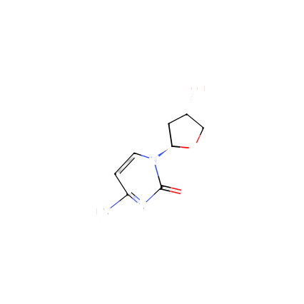 Nc1ccn([C@H]2C[C@H](O)CO2)c(=O)n1.[K]